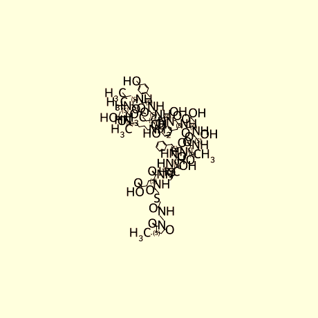 CC[C@H]1CC(=O)N(CCNC(=O)CSCC(=O)N[C@@H](CCC(=O)O)C(=O)NCC(=O)N[C@H](C(=O)N[C@@H](Cc2ccccc2)C(=O)N[C@H](C(=O)N[C@@H](CO)C(=O)N[C@@H](CC(=O)O)C(=O)N[C@@H](Cc2ccc(O)cc2)C(=O)N[C@@H](CO)C(=O)N[C@H](C(=O)N[C@@H](Cc2ccc(O)cc2)C(=O)N[C@@H](CC(C)C)C(=O)N[C@@H](CC(=O)O)C(=O)N[C@H](C)CCCCN)[C@@H](C)CC)[C@@H](C)O)[C@@H](C)O)C1=O